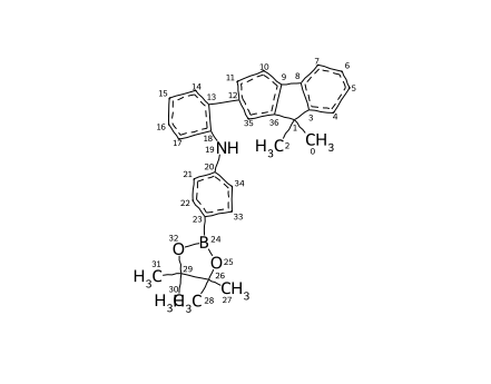 CC1(C)c2ccccc2-c2ccc(-c3ccccc3Nc3ccc(B4OC(C)(C)C(C)(C)O4)cc3)cc21